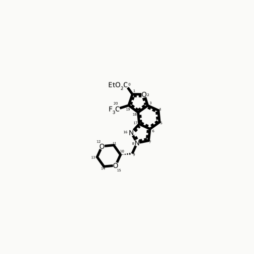 CCOC(=O)c1oc2ccc3cn(C[C@H]4COCCO4)nc3c2c1C(F)(F)F